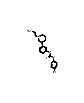 CCCN1CCCC(c2cccc(OC(=O)Nc3ccc(Cl)cc3)c2)C1